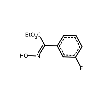 CCOC(=O)/C(=N\O)c1cccc(F)c1